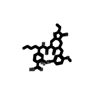 CCCCC(NC(=O)N1Cc2nn(CC)c(=O)n2CC(Cc2cc(Cl)ccc2OC)C1=O)c1ccc(C(=O)O)c(N)c1